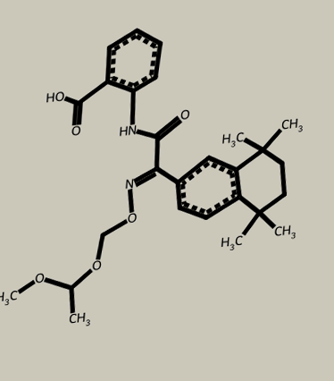 COC(C)OCO/N=C(/C(=O)Nc1ccccc1C(=O)O)c1ccc2c(c1)C(C)(C)CCC2(C)C